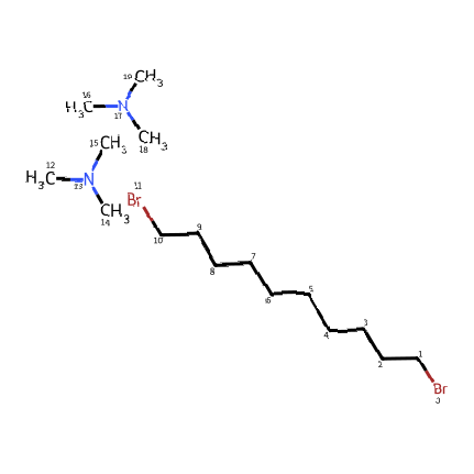 BrCCCCCCCCCCBr.CN(C)C.CN(C)C